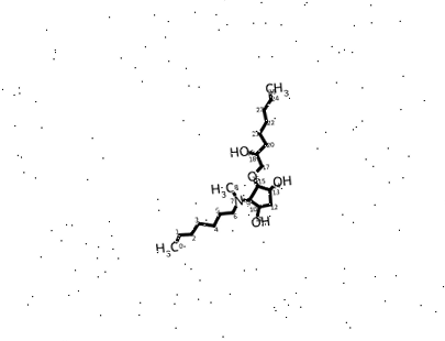 CCCCCCCN(C)C1C(O)CC(O)C1OCC(O)CCCCCC